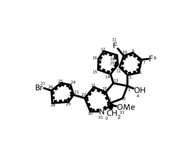 C=CCC(O)(c1cc(F)cc(F)c1)C(c1ccccc1)c1cc(-c2ccc(Br)cc2)cnc1OC